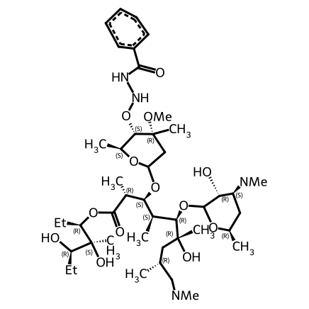 CC[C@@H](O)[C@](C)(O)[C@@H](CC)OC(=O)[C@H](C)[C@@H](OC1C[C@@](C)(OC)[C@@H](ONNC(=O)c2ccccc2)[C@H](C)O1)[C@H](C)[C@@H](OC1O[C@H](C)C[C@H](NC)[C@H]1O)[C@](C)(O)C[C@@H](C)CNC